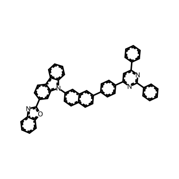 c1ccc(-c2cc(-c3ccc(-c4ccc5ccc(-n6c7ccccc7c7ccc(-c8nc9ccccc9o8)cc76)cc5c4)cc3)nc(-c3ccccc3)n2)cc1